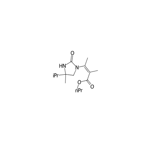 CCCOC(=O)C(C)=C(C)N1CC(C)(C(C)C)NC1=O